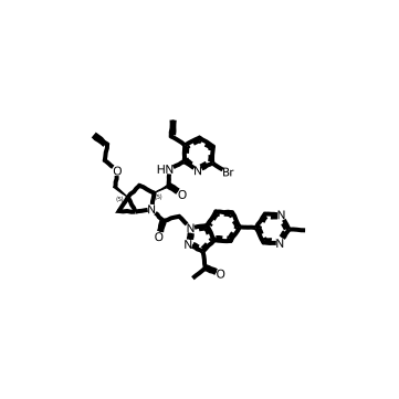 C=CCOC[C@]12CC1N(C(=O)Cn1nc(C(C)=O)c3cc(-c4cnc(C)nc4)ccc31)[C@H](C(=O)Nc1nc(Br)ccc1C=C)C2